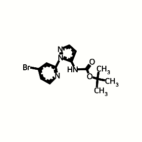 CC(C)(C)OC(=O)Nc1ccnn1-c1cc(Br)ccn1